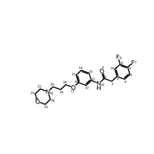 O=C(Cc1ccc(F)c(F)c1)Nc1cccc(OCCCN2CCOCC2)c1